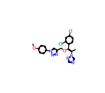 COc1ccc(-n2cc(CO/C(=C(/C)n3cncn3)c3ccc(Cl)cc3Cl)nn2)cc1